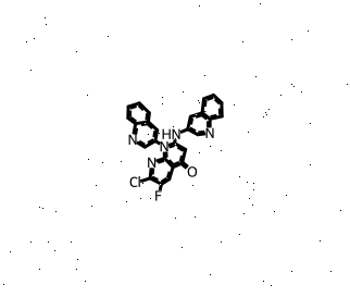 O=c1cc(Nc2cnc3ccccc3c2)n(-c2cnc3ccccc3c2)c2nc(Cl)c(F)cc12